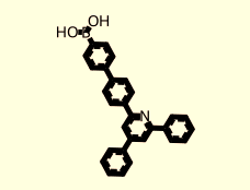 OB(O)c1ccc(-c2ccc(-c3cc(-c4ccccc4)cc(-c4ccccc4)n3)cc2)cc1